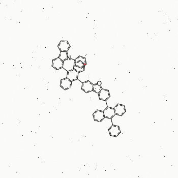 c1ccc(-c2c3ccccc3c(-c3ccc4oc5cc(-c6c7ccccc7c(-c7cccc8c9ccccc9n(-c9ccccc9)c78)c7ccccc67)ccc5c4c3)c3ccccc23)cc1